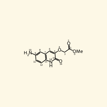 COC(=O)COc1cc2cc(N)ccc2[nH]c1=O